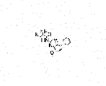 COc1ccc(-c2ccccc2)c2ncc(NC(=O)C3CN=CN3)nc12